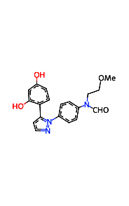 COCCN(C=O)c1ccc(-n2nccc2-c2ccc(O)cc2O)cc1